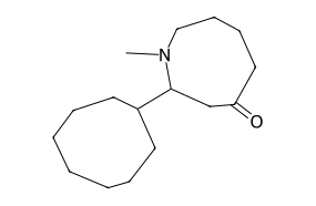 CN1CCCCC(=O)CC1C1CCCCCCC1